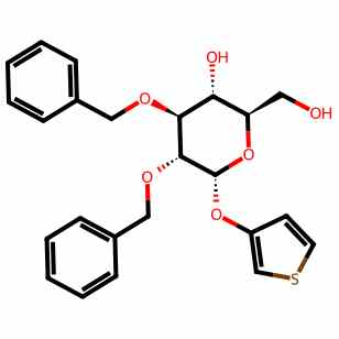 OC[C@H]1O[C@H](Oc2ccsc2)[C@H](OCc2ccccc2)[C@@H](OCc2ccccc2)[C@@H]1O